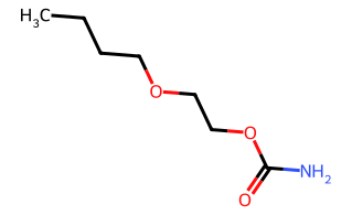 CCCCOCCOC(N)=O